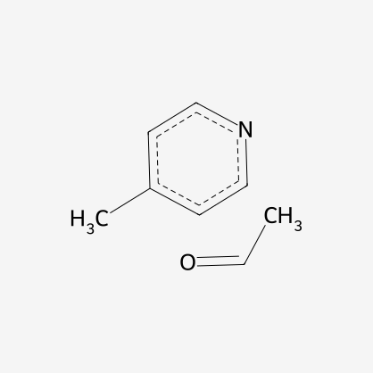 CC=O.Cc1ccncc1